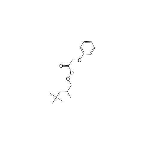 CC(COOC(=O)COc1ccccc1)CC(C)(C)C